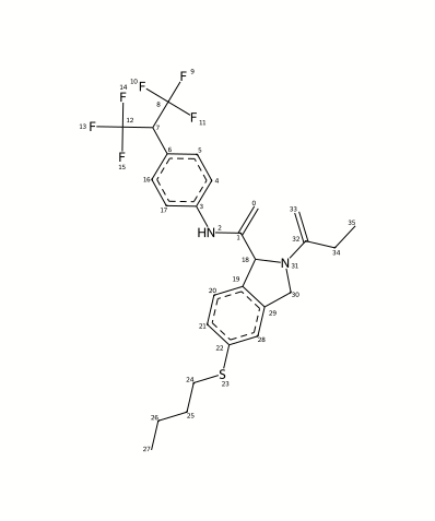 C=C(Nc1ccc(C(C(F)(F)F)C(F)(F)F)cc1)C1c2ccc(SCCCC)cc2CN1C(=C)CC